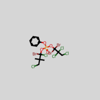 CC(C)(CCl)C(Cl)(Br)OP(=O)(Oc1ccccc1)OC(Br)(Br)C(Cl)(Cl)CCl